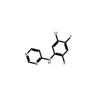 Fc1cc(F)c(Nc2ccncn2)cc1Cl